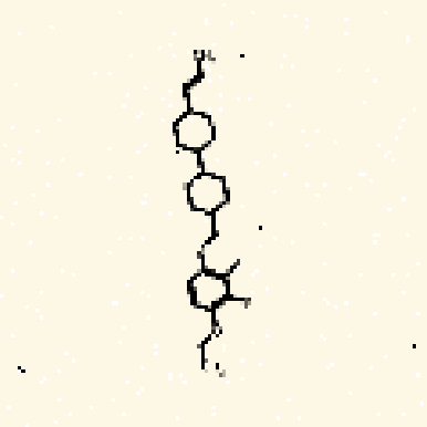 CC=CC1CCC(C2CCC(COc3ccc(OCC)c(F)c3F)CC2)CC1